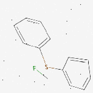 CF.c1ccc(Sc2ccccc2)cc1